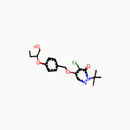 CCC(CO)Oc1ccc(COc2cnn(C(C)(C)C)c(=O)c2Cl)cc1